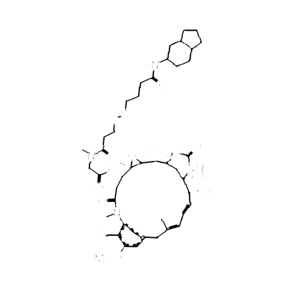 COc1cc2cc(c1Cl)N(C)C(=O)C[C@H](OC(=O)[C@H](C)N(C)C(=O)CCSSCCCC(=O)NC1CCC3CCCC3C1)[C@]1(C)O[C@H]1[C@H](C)[C@@H]1C[C@@](O)(NC(=O)O1)[C@H](O)/C=C/C=C(\C)C2